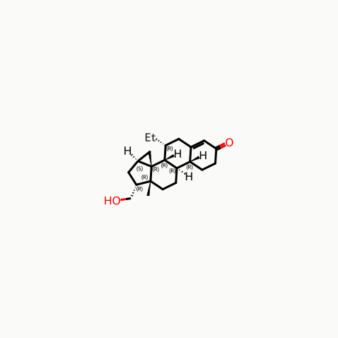 CC[C@@H]1CC2=CC(=O)CC[C@@H]2[C@H]2CC[C@]3(C)[C@H](CO)C[C@H]4C[C@]43[C@H]12